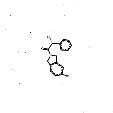 CC[C@@H](C(=O)N1Cc2ccc(Br)cc2C1)c1ccccc1